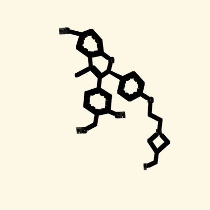 CC1=C(c2ccc(CO)c(O)c2)[C@H](c2ccc(OCCN3CC(CF)C3)cc2)Oc2ccc(O)cc21